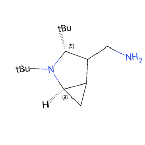 CC(C)(C)[C@@H]1C(CN)C2C[C@H]2N1C(C)(C)C